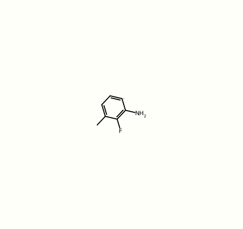 Cc1cc[c]c(N)c1F